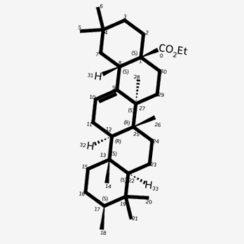 CCOC(=O)[C@]12CCC(C)(C)C[C@H]1C1=CC[C@@H]3[C@@]4(C)CC[C@H](C)C(C)(C)[C@@H]4CC[C@@]3(C)[C@]1(C)CC2